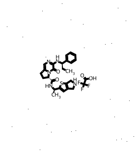 CC[C@@H](Nc1ncc2n(c1=O)[C@H](C(=O)N[C@H](C)c1cc3c(s1)CNC3)CC2)c1ccccc1.O=C(O)C(F)(F)F